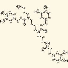 NCCCN(CCCCN(CCCNC(=O)CCc1ccc(O)c(O)c1)C(=O)CCc1ccc(O)c(O)c1)C(=O)CCc1ccc(O)c(O)c1